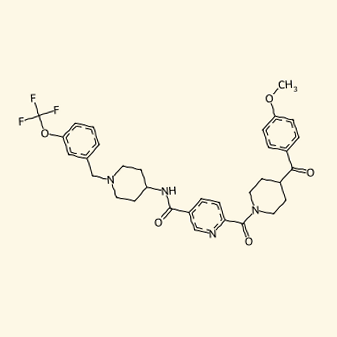 COc1ccc(C(=O)C2CCN(C(=O)c3ccc(C(=O)NC4CCN(Cc5cccc(OC(F)(F)F)c5)CC4)cn3)CC2)cc1